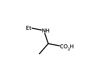 CCNC(C)C(=O)O